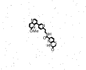 COc1ccc2nccc(-c3ccc(CCNC(=O)c4ccc5c(n4)NC(=O)CS5)nc3)c2n1